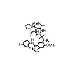 CN[C@@H](C)C(=O)N[C@H](C(=O)NC(=O)[C@@H]1CCCN1)C(C)(C)Cc1cc2c(Nc3ccc(F)cc3F)ncnc2cc1OC.Cl